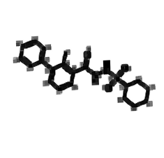 Cc1c(C(=O)NNS(=O)(=O)C2CCCCC2)cccc1-c1ccccc1